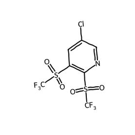 O=S(=O)(c1cc(Cl)cnc1S(=O)(=O)C(F)(F)F)C(F)(F)F